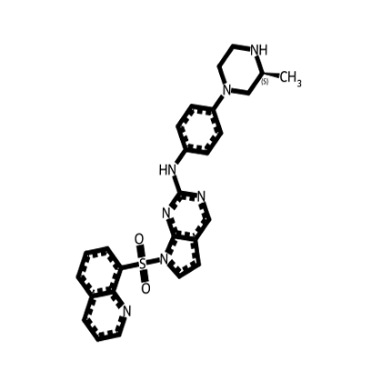 C[C@H]1CN(c2ccc(Nc3ncc4ccn(S(=O)(=O)c5cccc6cccnc56)c4n3)cc2)CCN1